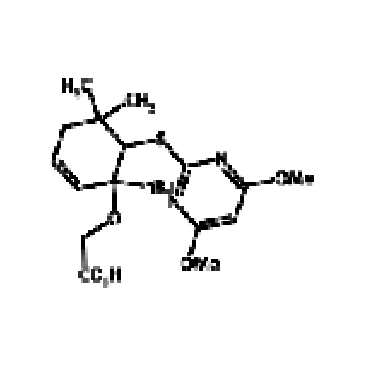 CCCCC1(OCC(=O)O)C=CCC(C)(C)C1Sc1nc(OC)cc(OC)n1